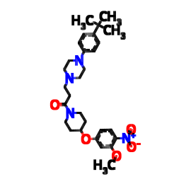 COc1cc(OC2CCN(C(=O)CCN3CCN(c4ccc(C(C)(C)C)cc4)CC3)CC2)ccc1[N+](=O)[O-]